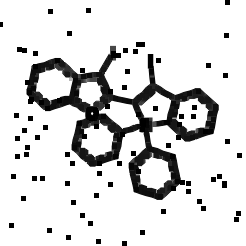 IC1=C(c2oc3ccccc3c2I)[Si](c2ccccc2)(c2ccccc2)c2ccccc21